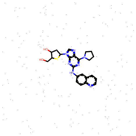 OCC1SC(n2cnc3c(N4CCCC4)nc(Nc4ccc5ncccc5c4)nc32)CC1O